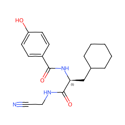 N#CCNC(=O)[C@H](CC1CCCCC1)NC(=O)c1ccc(O)cc1